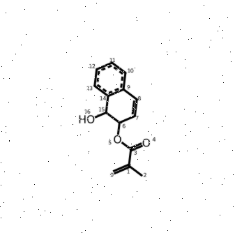 C=C(C)C(=O)OC1C=Cc2ccccc2C1O